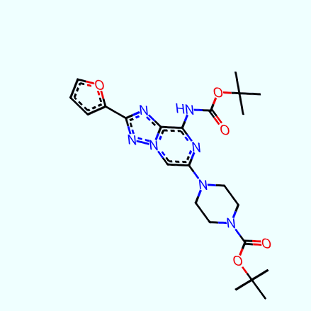 CC(C)(C)OC(=O)Nc1nc(N2CCN(C(=O)OC(C)(C)C)CC2)cn2nc(-c3ccco3)nc12